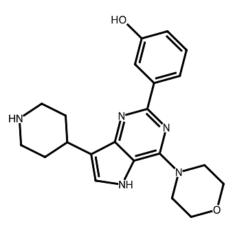 Oc1cccc(-c2nc(N3CCOCC3)c3[nH]cc(C4CCNCC4)c3n2)c1